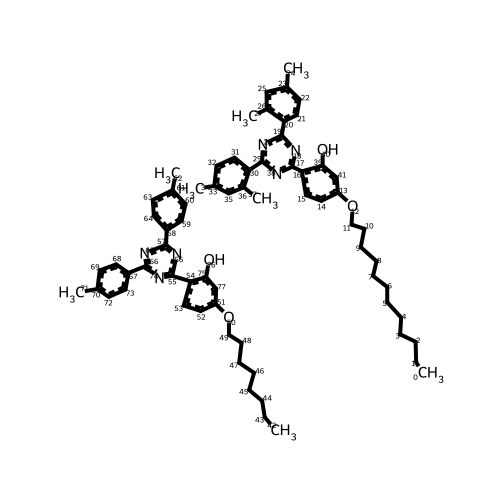 CCCCCCCCCCCCOc1ccc(-c2nc(-c3ccc(C)cc3C)nc(-c3ccc(C)cc3C)n2)c(O)c1.CCCCCCCCOc1ccc(-c2nc(-c3ccc(C)cc3)nc(-c3ccc(C)cc3)n2)c(O)c1